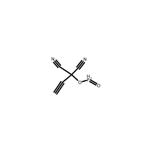 C#CC(C#N)(C#N)O[PH2]=O